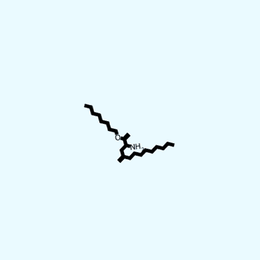 C=C(CCCCCCCCC)CC(N)C(=C)OCCCCCCCC